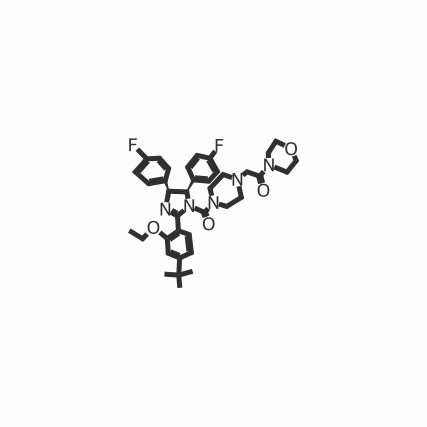 CCOc1cc(C(C)(C)C)ccc1C1=N[C@@H](c2ccc(F)cc2)[C@@H](c2ccc(F)cc2)N1C(=O)N1CCN(CC(=O)N2CCOCC2)CC1